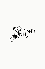 COc1ccc(CCCCN2CCCCC2)cc1N(Cc1cc2ccccc2o1)C(=N)N